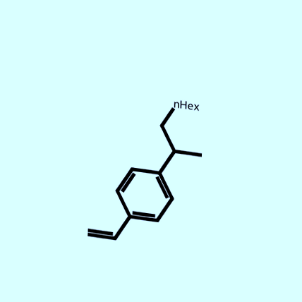 C=Cc1ccc(C(C)CCCCCCC)cc1